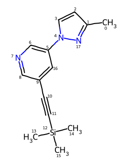 Cc1ccn(-c2cncc(C#C[Si](C)(C)C)c2)n1